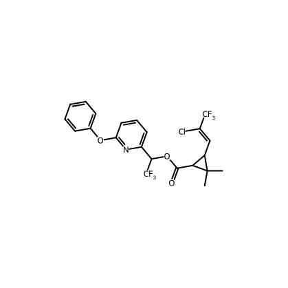 CC1(C)C(C=C(Cl)C(F)(F)F)C1C(=O)OC(c1cccc(Oc2ccccc2)n1)C(F)(F)F